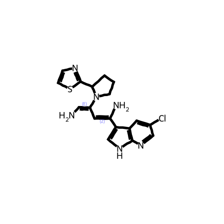 N/C=C(\C=C(/N)c1c[nH]c2ncc(Cl)cc12)N1CCCC1c1nccs1